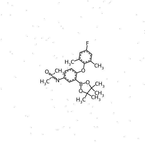 Cc1cc(F)cc(C)c1Oc1ccc(N=S(C)(C)=O)cc1B1OC(C)(C)C(C)(C)O1